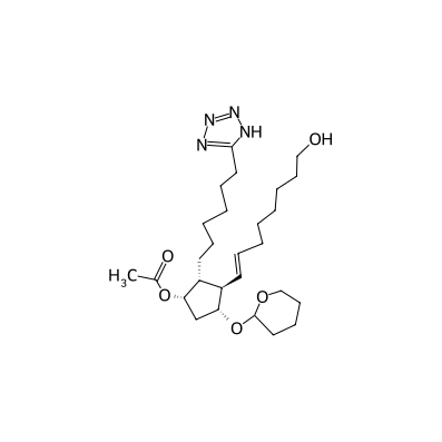 CC(=O)O[C@H]1C[C@@H](OC2CCCCO2)[C@H](C=CCCCCCCO)[C@H]1CCCCCCc1nnn[nH]1